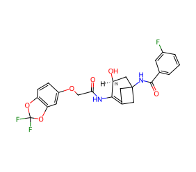 O=C(COc1ccc2c(c1)OC(F)(F)O2)NC1=C2CC(NC(=O)c3cccc(F)c3)(C2)C[C@@H]1O